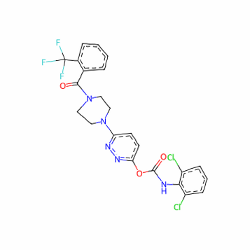 O=C(Nc1c(Cl)cccc1Cl)Oc1ccc(N2CCN(C(=O)c3ccccc3C(F)(F)F)CC2)nn1